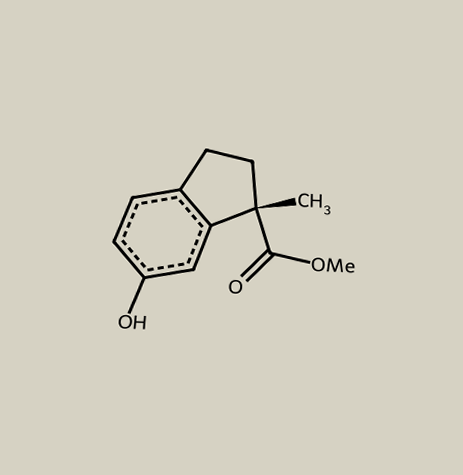 COC(=O)[C@@]1(C)CCc2ccc(O)cc21